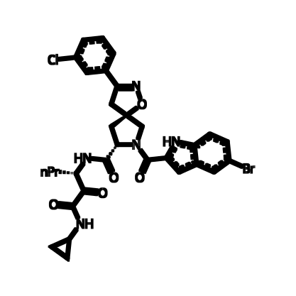 CCC[C@H](NC(=O)[C@@H]1C[C@]2(CC(c3cccc(Cl)c3)=NO2)CN1C(=O)c1cc2cc(Br)ccc2[nH]1)C(=O)C(=O)NC1CC1